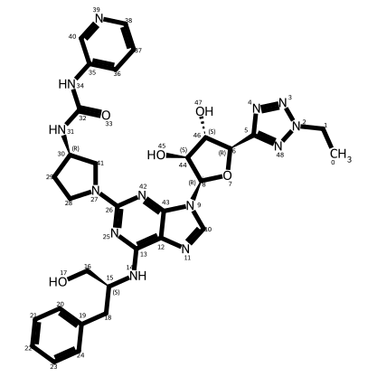 CCn1nnc([C@H]2O[C@@H](n3cnc4c(N[C@H](CO)Cc5ccccc5)nc(N5CC[C@@H](NC(=O)Nc6cccnc6)C5)nc43)[C@@H](O)[C@@H]2O)n1